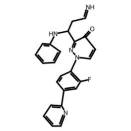 N=CCC(Nc1ccccc1)c1nn(-c2ccc(-c3ccccn3)cc2F)ccc1=O